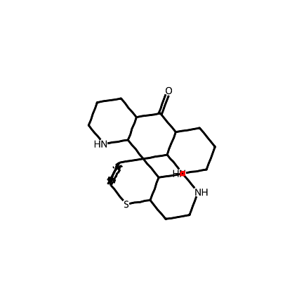 O=C1C2CCCNC2C2(c3ccccc3SC3CCNCC32)C2NCCCC12